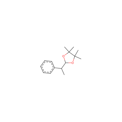 CC(c1ccccc1)C1OC(C)(C)C(C)(C)O1